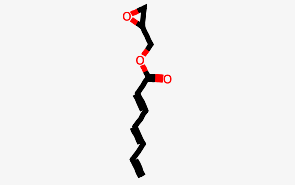 C=CC=CC=CC(=O)OCC1CO1